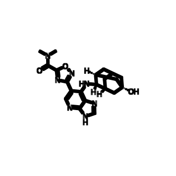 CN(C)C(=O)c1nc(-c2cnc3[nH]cnc3c2N[C@H]2[C@@H]3CC4C[C@H]2C[C@@](O)(C4)C3)no1